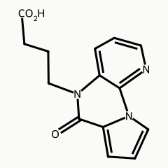 O=C(O)CCCn1c(=O)c2cccn2c2ncccc21